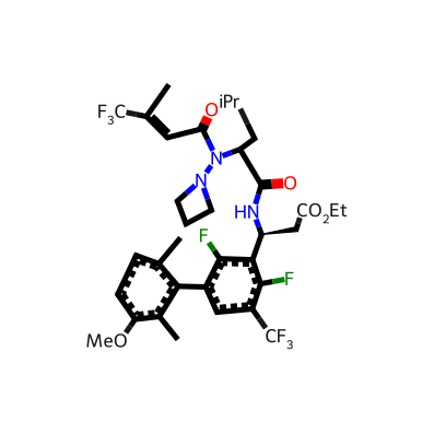 CCOC(=O)C[C@H](NC(=O)C(CC(C)C)N(C(=O)/C=C(\C)C(F)(F)F)N1CCC1)c1c(F)c(-c2c(C)ccc(OC)c2C)cc(C(F)(F)F)c1F